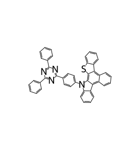 c1ccc(-c2nc(-c3ccccc3)nc(-c3ccc(-n4c5ccccc5c5c6ccccc6c6c7ccccc7sc6c54)cc3)n2)cc1